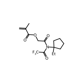 C=C(C)C(=O)OCC(=O)N(C(=O)C(F)(F)F)C1(CC)CCCC1